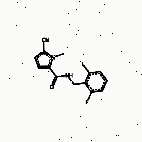 Cn1c(C#N)ccc1C(=O)NCc1c(F)cccc1I